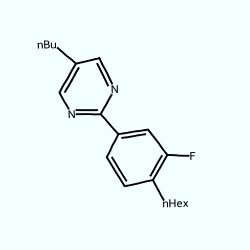 CCCCCCc1ccc(-c2ncc(CCCC)cn2)cc1F